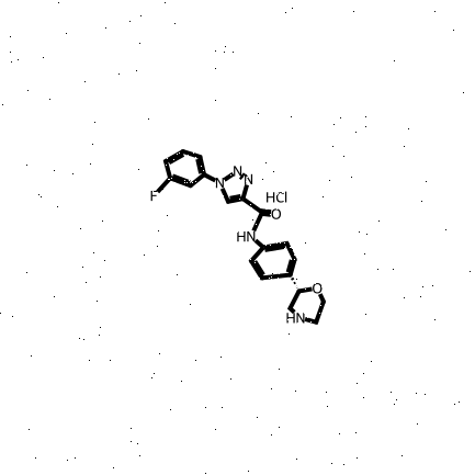 Cl.O=C(Nc1ccc([C@H]2CNCCO2)cc1)c1cn(-c2cccc(F)c2)nn1